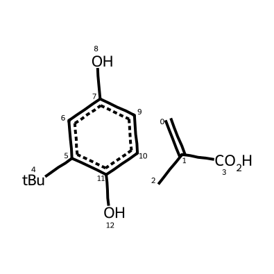 C=C(C)C(=O)O.CC(C)(C)c1cc(O)ccc1O